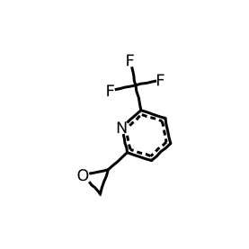 FC(F)(F)c1cccc(C2CO2)n1